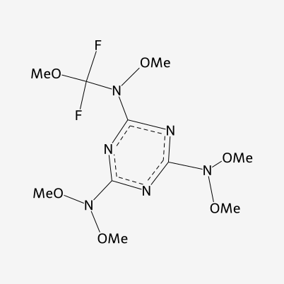 CON(OC)c1nc(N(OC)OC)nc(N(OC)C(F)(F)OC)n1